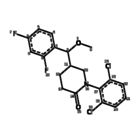 COC(c1ccc(F)cc1F)C1CCC(=O)N(c2c(Cl)cccc2Cl)C1